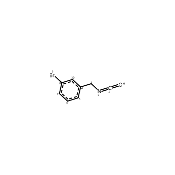 O=C=NCc1cccc(Br)c1